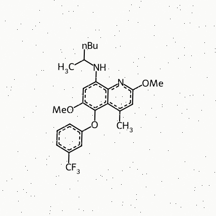 CCCCC(C)Nc1cc(OC)c(Oc2cccc(C(F)(F)F)c2)c2c(C)cc(OC)nc12